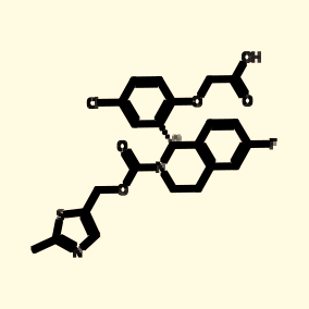 Cc1ncc(COC(=O)N2CCc3cc(F)ccc3[C@H]2c2cc(Cl)ccc2OCC(=O)O)s1